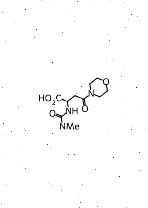 CNC(=O)N[C@H](CC(=O)N1CCOCC1)C(=O)O